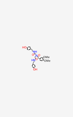 COc1ccc(CC(=O)N(CC(=O)NCCc2ccc(O)cc2)CC(=O)NCCc2ccc(O)cc2)cc1OC